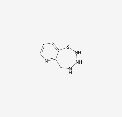 c1cnc2c(c1)SNNNC2